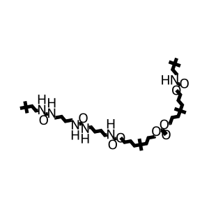 CC(C)(C)CCNC(=O)NCCCCNC(=O)NCCCCNC(=O)OCCCC(C)(C)CCCOC(=O)OCCCC(C)(C)CCCOC(=O)NCCC(C)(C)C